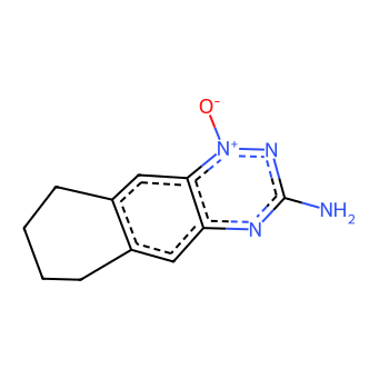 Nc1nc2cc3c(cc2[n+]([O-])n1)CCCC3